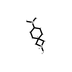 CN(C)C1CCC2(CC1)CN(I)C2